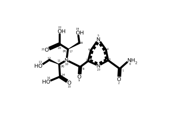 NC(=O)c1cncc(C(=O)N([C@H](CO)C(=O)O)[C@H](CO)C(=O)O)n1